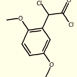 COc1ccc(OC)c(C(Cl)C(=O)Cl)c1